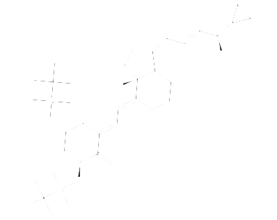 C=C1/C(=C/C=C2\CCC[C@]3(C)[C@@H]([C@H](C)C=C[C@H](O)C4CC4)CC[C@@H]23)C[C@@H](O[Si](C)(C)C(C)(C)C)C[C@@H]1O[Si](C)(C)C(C)(C)C